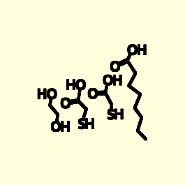 CCCCCCCC(=O)O.O=C(O)CS.O=C(O)CS.OCCO